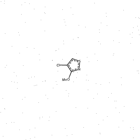 COc1nscc1Cl